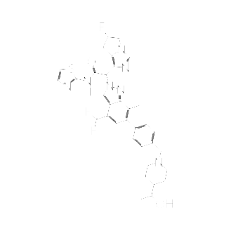 Cc1c(-c2ccc(CN3CCC(C(C)O)CC3)cc2)cc(C(F)F)c2cn(C(C(=O)Nc3nccs3)c3ncn4c3C[C@@H](F)C4)nc12